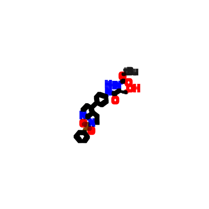 CC(C)(C)OC(=O)N[C@H](CO)C(=O)Nc1ccc(-c2ccnc3c2ccn3S(=O)(=O)c2ccccc2)cc1